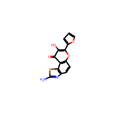 Nc1nc2ccc3oc(-c4ccco4)c(O)c(=O)c3c2s1